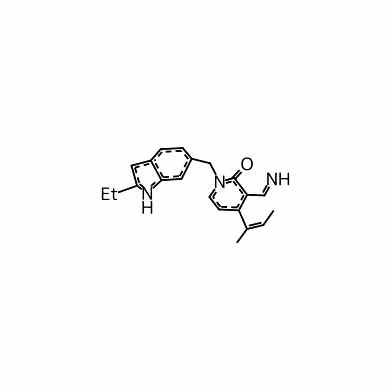 C/C=C(/C)c1ccn(Cc2ccc3cc(CC)[nH]c3c2)c(=O)c1C=N